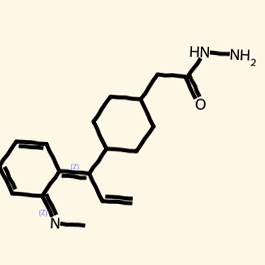 C=C/C(=C1/C=CC=C/C1=N/C)C1CCC(CC(=O)NN)CC1